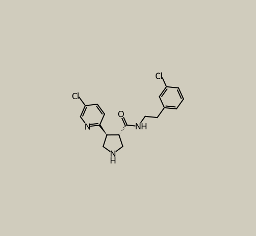 O=C(NCCc1cccc(Cl)c1)[C@@H]1CNC[C@H]1c1ccc(Cl)cn1